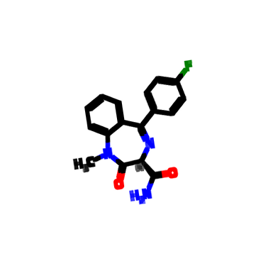 CN1C(=O)[C@H](C(N)=O)N=C(c2ccc(F)cc2)c2ccccc21